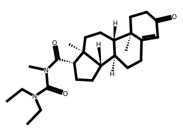 CCN(CC)C(=O)N(C)C(=O)[C@H]1CC[C@H]2[C@@H]3CCC4=CC(=O)CC[C@]4(C)[C@H]3CC[C@]12C